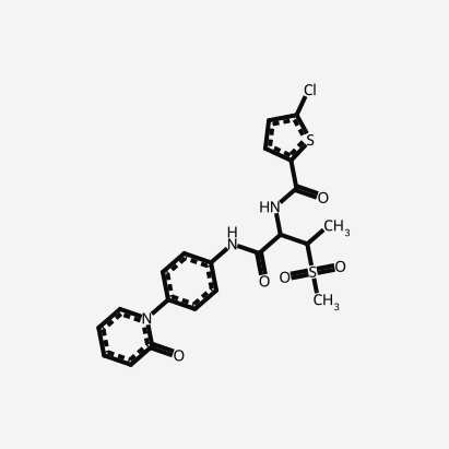 CC(C(NC(=O)c1ccc(Cl)s1)C(=O)Nc1ccc(-n2ccccc2=O)cc1)S(C)(=O)=O